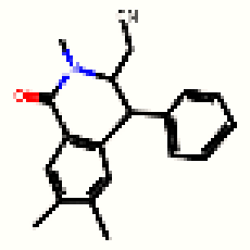 Cc1cc2c(cc1C)C(c1ccccc1)C(CC#N)N(C)C2=O